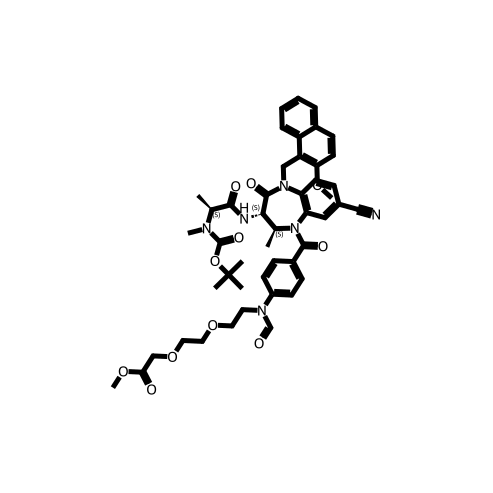 COC(=O)COCCOCCN(C=O)c1ccc(C(=O)N2c3cc(C#N)ccc3N(Cc3c(OC)ccc4ccccc34)C(=O)[C@@H](NC(=O)[C@H](C)N(C)C(=O)OC(C)(C)C)[C@@H]2C)cc1